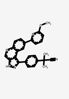 COc1cccc(-c2ccc3ncc4[nH]nc(-c5ccc(C(C)(C)C#N)cc5)c4c3c2)n1